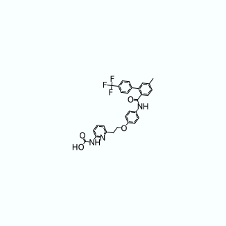 Cc1ccc(C(=O)Nc2ccc(OCCc3cccc(NC(=O)O)n3)cc2)c(-c2ccc(C(F)(F)F)cc2)c1